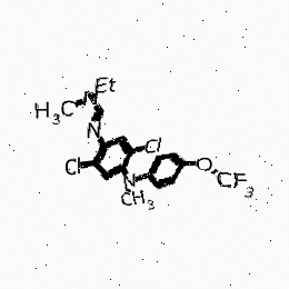 CCN(C)C=Nc1cc(Cl)c(N(C)c2ccc(OC(F)(F)F)cc2)cc1Cl